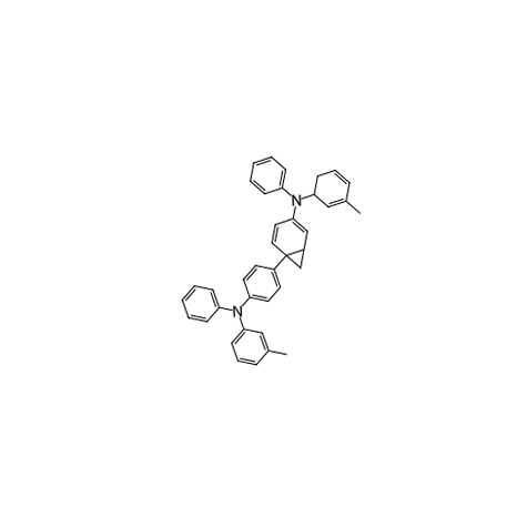 CC1=CC(N(C2=CC3CC3(c3ccc(N(c4ccccc4)c4cccc(C)c4)cc3)C=C2)c2ccccc2)CC=C1